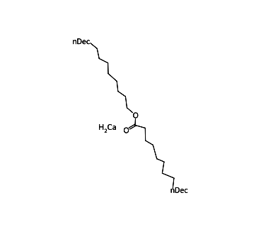 CCCCCCCCCCCCCCCCCCOC(=O)CCCCCCCCCCCCCCCCC.[CaH2]